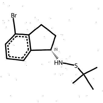 CC(C)(C)SN[C@H]1CCc2c(Br)cccc21